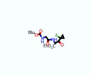 CCOC(=O)[C@H](NC(=O)CNC(=O)OC(C)(C)C)C(=O)C1(F)CC1